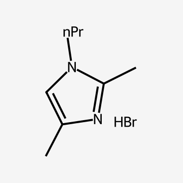 Br.CCCn1cc(C)nc1C